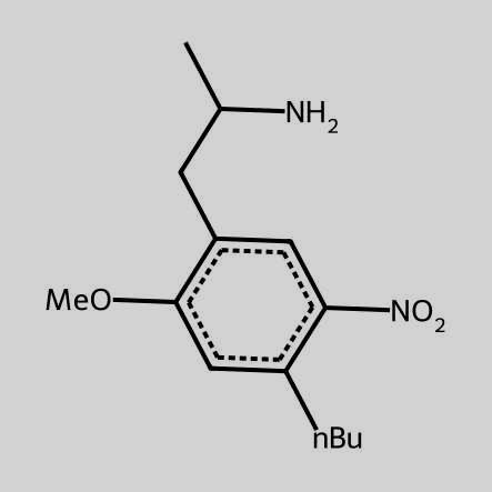 CCCCc1cc(OC)c(CC(C)N)cc1[N+](=O)[O-]